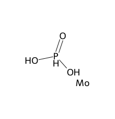 O=[PH](O)O.[Mo]